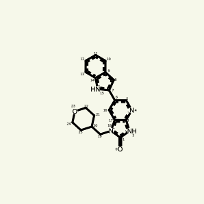 O=c1[nH]c2ncc(-c3cc4ccccc4[nH]3)cc2n1CC1CCOCC1